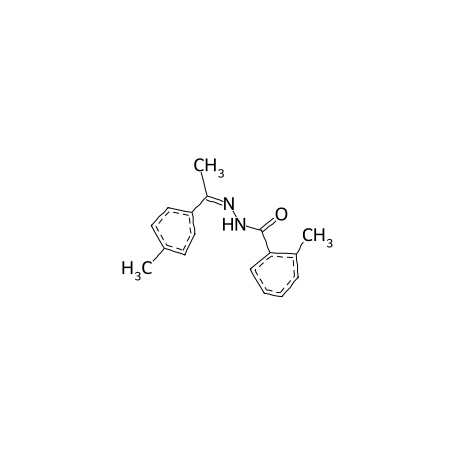 CC(=NNC(=O)c1ccccc1C)c1ccc(C)cc1